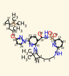 CC1(C)C[C@@H]2CCCNc3cccc(n3)S(=O)(=O)NC(=O)c3ccc(-n4ccc(OCCC5(S(C)(C)C)CC5)n4)nc3N1C2